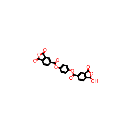 O=C(Oc1ccc(OC(=O)c2ccc3c(c2)C(=O)OC3O)cc1)c1ccc2c(c1)C(=O)OC2=O